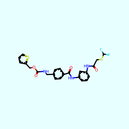 O=C(CSC(F)F)Nc1cccc(NC(=O)c2ccc(CNC(=O)OCc3cccs3)cc2)c1